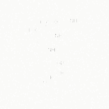 CC(C)[C@H](NC(=O)CN)C(=O)NC[C@H](O)CP(=O)(O)CC1CCCCC1